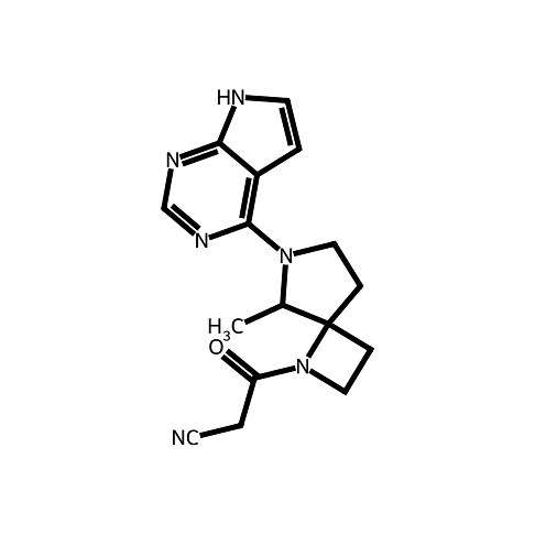 CC1N(c2ncnc3[nH]ccc23)CCC12CCN2C(=O)CC#N